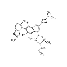 C=CC(=O)N1C[C@H](C)N(c2nc(N3CC(N(C)C)C3)nc3c(F)c(-c4c(C)ccc5nn(C)cc45)c(Cl)cc23)C[C@H]1C